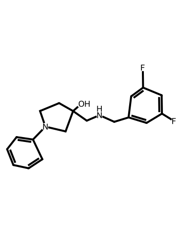 OC1(CNCc2cc(F)cc(F)c2)CCN(c2ccccc2)C1